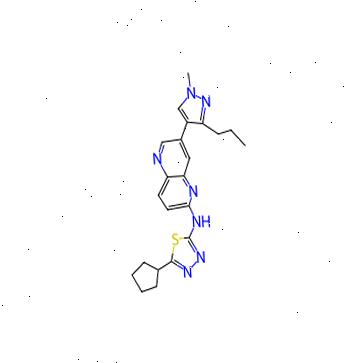 CCCc1nn(C)cc1-c1cnc2ccc(Nc3nnc(C4CCCC4)s3)nc2c1